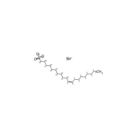 CCCCCCCC/C=C\CCCCCCCCCCS(=O)(=O)[O-].[Na+]